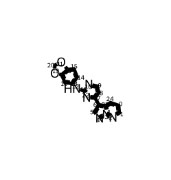 c1cnn2ncc(-c3ccnc(Nc4ccc5c(c4)OCO5)n3)c2c1